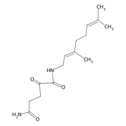 CC(C)=CCC/C(C)=C/CNC(=O)C(=O)CCC(N)=O